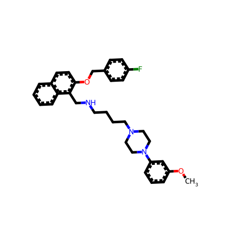 COc1cccc(N2CCN(CCCCNCc3c(OCc4ccc(F)cc4)ccc4ccccc34)CC2)c1